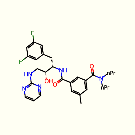 CCCN(CCC)C(=O)c1cc(C)cc(C(=O)N[C@@H](Cc2cc(F)cc(F)c2)[C@H](O)CNc2ncccn2)c1